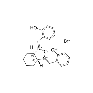 Oc1ccccc1C=[N+]1[Cr][N+](=Cc2ccccc2O)[C@@H]2CCCC[C@H]21.[Br-]